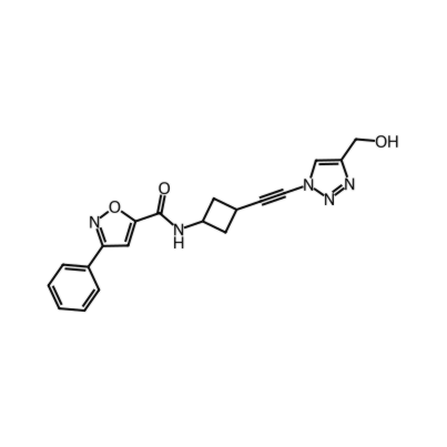 O=C(NC1CC(C#Cn2cc(CO)nn2)C1)c1cc(-c2ccccc2)no1